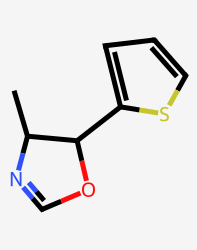 CC1N=COC1c1cccs1